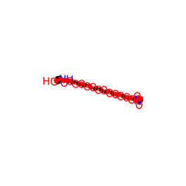 O=C(CCOCCOCCOCCOCCOCCOCCOCCOCCOCCOCCOCCOCCN1C(=O)C=CC1=O)Nc1ccc(O)cc1